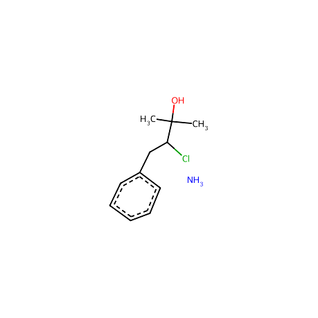 CC(C)(O)C(Cl)Cc1ccccc1.N